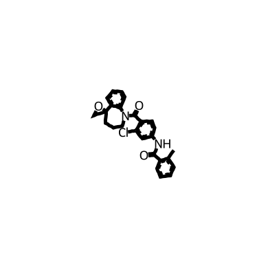 Cc1ccccc1C(=O)Nc1ccc(C(=O)N2CCCC3(CO3)c3ccccc32)c(Cl)c1